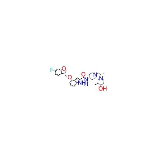 C[C@H]1CN([C@@H](C)CN2CCC(NC(=O)c3cc4c(OCc5coc6cc(F)ccc56)cccc4[nH]3)CC2)CCC1O